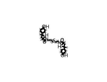 CC(C)(CC(C)(C)c1ccc(O)cc1)C(=O)NCCSSCCNC(=O)C(C)(C)CC(C)(C)c1ccc(O)cc1